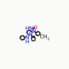 Cc1ccc(-n2c3c([nH]c2=O)C=CC(Nc2ccccc2)N3C2CC3CCC2C3)cc1